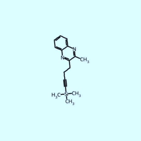 Cc1nc2ccccc2nc1CCC#C[Si](C)(C)C